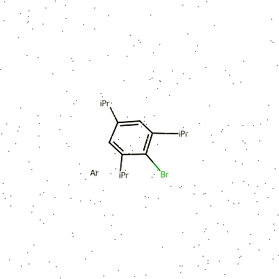 CC(C)c1cc(C(C)C)c(Br)c(C(C)C)c1.[Ar]